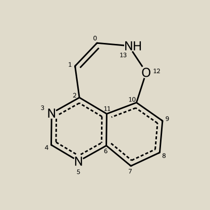 C1=Cc2ncnc3cccc(c23)ON1